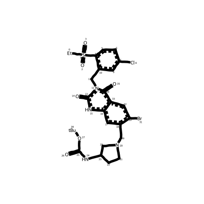 CCS(=O)(=O)c1ccc(Cl)cc1Cn1c(=O)[nH]c2cc(CN3CCC(NC(=O)OC(C)(C)C)C3)c(Br)cc2c1=O